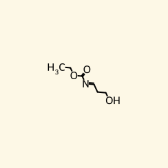 CCOC(=O)N=CCCO